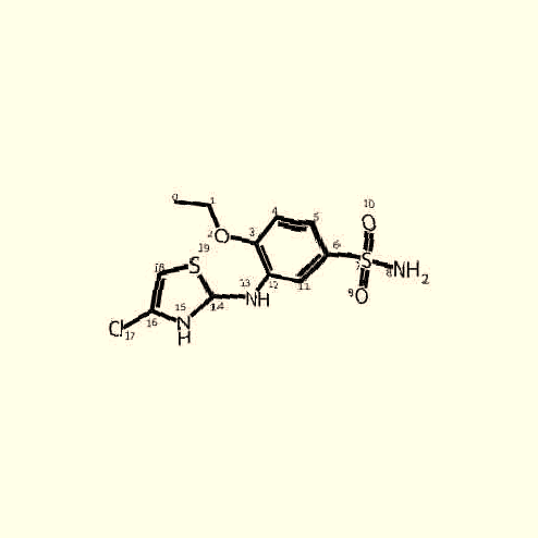 CCOc1ccc(S(N)(=O)=O)cc1NC1NC(Cl)=CS1